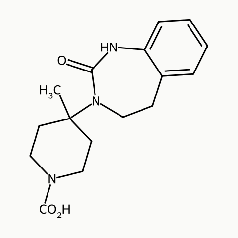 CC1(N2CCc3ccccc3NC2=O)CCN(C(=O)O)CC1